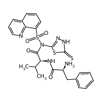 CC(C)[C@H](NC(=O)[C@@H](N)Cc1ccccc1)C(=O)N(c1n[nH]c(=S)s1)S(=O)(=O)c1cccc2cccnc12